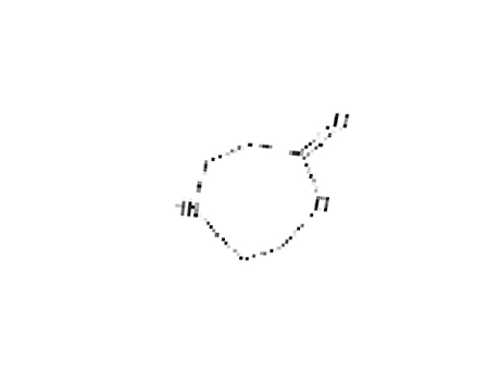 O=C1CCNC[CH]O1